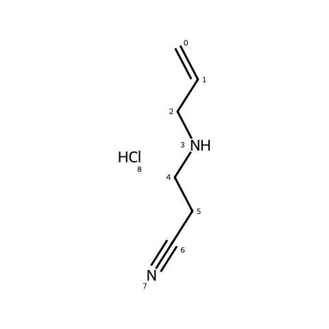 C=CCNCCC#N.Cl